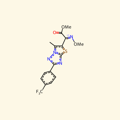 CO/N=C(/C(=O)OC)c1sc2nc(-c3ccc(C(F)(F)F)cc3)nn2c1C